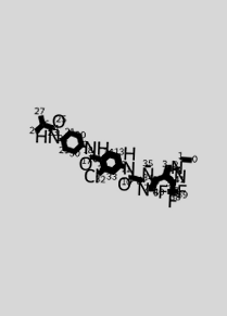 CCn1cc(-c2cnc(C(=O)Nc3ccc(C(=O)N[C@H]4CC[C@@H](NC(=O)C(C)C)CC4)c(Cl)c3)n2C)c(C(F)(F)F)n1